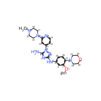 CC(C)Oc1cc(Nc2nc(N)n(-c3ccnc(N4CCN(C)CC4)c3)n2)ccc1N1CCOCC1